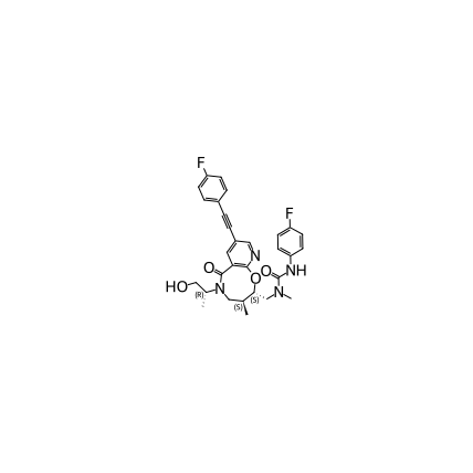 C[C@H](CO)N1C[C@H](C)[C@@H](CN(C)C(=O)Nc2ccc(F)cc2)Oc2ncc(C#Cc3ccc(F)cc3)cc2C1=O